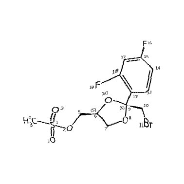 CS(=O)(=O)OC[C@@H]1CO[C@@](CBr)(c2ccc(F)cc2F)O1